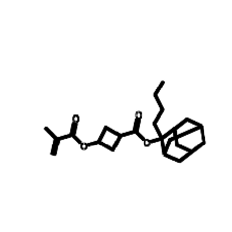 C=C(C)C(=O)OC1CC(C(=O)OC2(CCCC)C3CC4CC(C3)CC2C4)C1